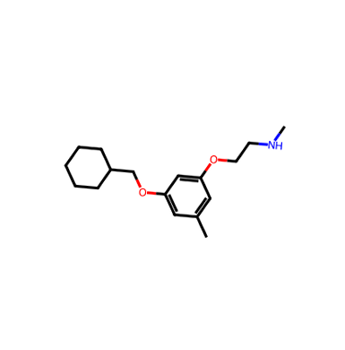 CNCCOc1cc(C)cc(OCC2CCCCC2)c1